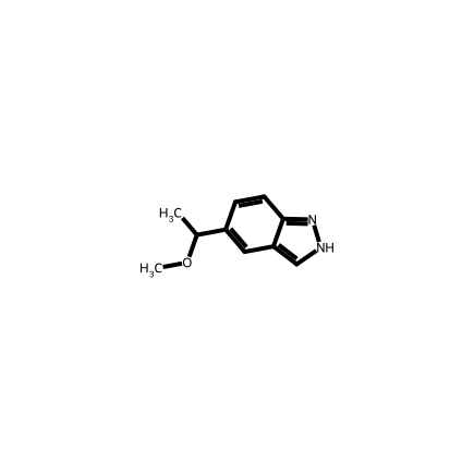 COC(C)c1ccc2n[nH]cc2c1